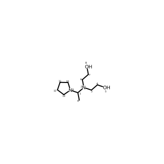 CC(N(CCO)CCO)N1CCCC1